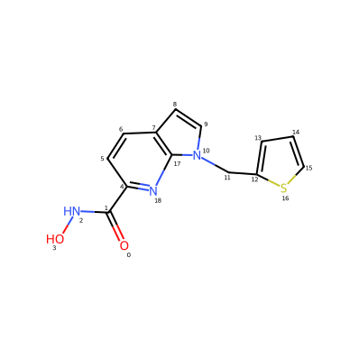 O=C(NO)c1ccc2ccn(Cc3cccs3)c2n1